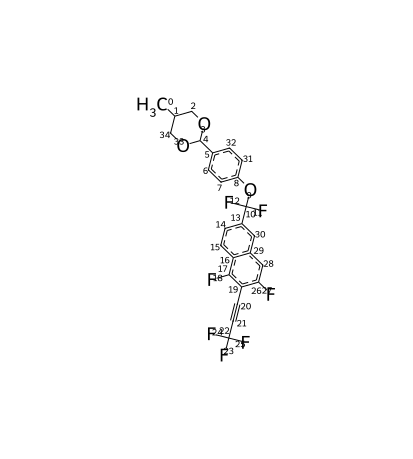 CC1COC(c2ccc(OC(F)(F)c3ccc4c(F)c(C#CC(F)(F)F)c(F)cc4c3)cc2)OC1